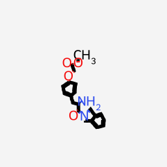 COC(=O)COc1ccc(C[C@@H](N)C(=O)N2Cc3ccccc3C2)cc1